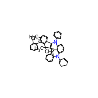 Cc1ccccc1-c1c(C)ccc2c1C(C)(C)C1=C2N(c2ccccc2)c2cccc3c2B1c1ccccc1N3C1=CCCC=C1